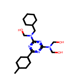 CC1CCC(c2nc(N(CO)CO)nc(N(CO)CC3CCCCC3)n2)CC1